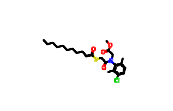 CCCCCCCCCCC(=O)SCC(=O)N(CC(=O)OC)c1c(C)ccc(Cl)c1C